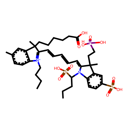 CCCC[N+]1=C(C=CC=CC=C2N(C(CCC)S(=O)(=O)O)c3ccc(S(=O)(=O)O)cc3C2(C)CCP(=O)(O)O)C(C)(CCCCCC(=O)O)c2cc(C)ccc21